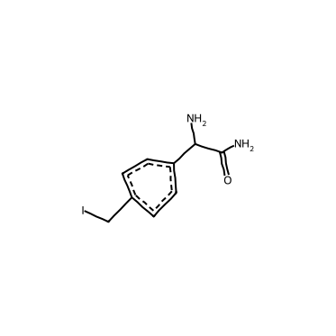 NC(=O)C(N)c1ccc(CI)cc1